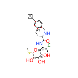 CSC1O[C@H]([C@H](NC(=O)C2CC[C@H](CCC3C4CC3C4c3ccccc3)CCN2)[C@H](C)Cl)[C@@H](O)C(O)[C@H]1O